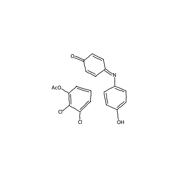 CC(=O)Oc1cccc(Cl)c1Cl.O=C1C=CC(=Nc2ccc(O)cc2)C=C1